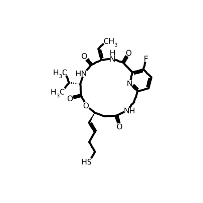 C/C=C1\NC(=O)c2nc(ccc2F)CNC(=O)C[C@@H](/C=C/CCS)OC(=O)[C@H](C(C)C)NC1=O